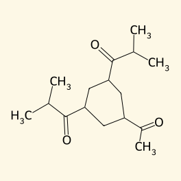 CC(=O)C1CC(C(=O)C(C)C)CC(C(=O)C(C)C)C1